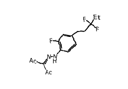 CCC(F)(F)CCc1ccc(NN=C(C(C)=O)C(C)=O)c(F)c1